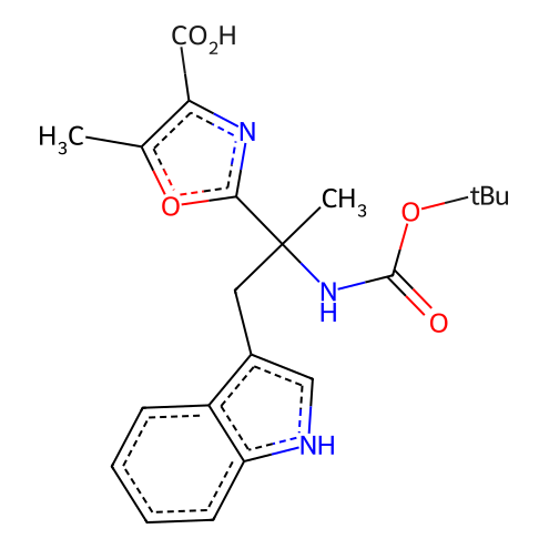 Cc1oc(C(C)(Cc2c[nH]c3ccccc23)NC(=O)OC(C)(C)C)nc1C(=O)O